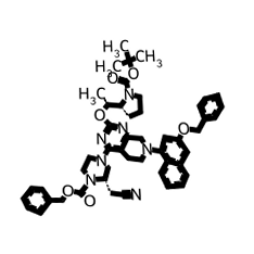 C[C@@H](Oc1nc2c(c(N3CCN(C(=O)OCc4ccccc4)[C@@H](CC#N)C3)n1)CCN(c1cc(OCc3ccccc3)cc3ccccc13)C2)[C@H]1CCCN1C(=O)OC(C)(C)C